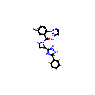 Cc1ccc(-n2nccn2)c(C(=O)N2CCC2c2nnc(-c3ccccc3)[nH]2)c1